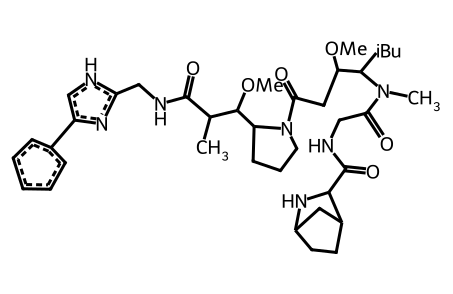 CCC(C)C(C(CC(=O)N1CCCC1C(OC)C(C)C(=O)NCc1nc(-c2ccccc2)c[nH]1)OC)N(C)C(=O)CNC(=O)C1NC2CCC1C2